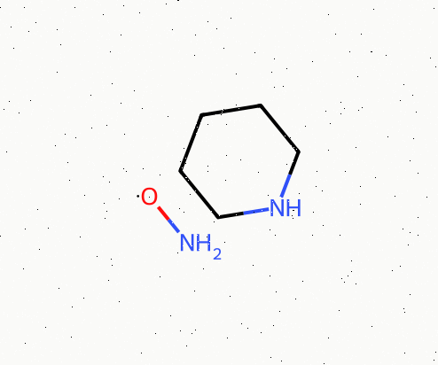 C1CCNCC1.N[O]